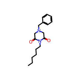 CCCCCCN1C(=O)CN(Cc2ccccc2)CC1=O